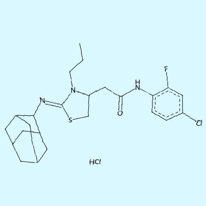 CCCN1C(=NC2C3CC4CC(C3)CC2C4)SCC1CC(=O)Nc1ccc(Cl)cc1F.Cl